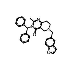 Cc1nc2c(c(=O)n1C(c1ccccc1)c1ccccc1)CN(Cc1ccc3occc3c1)CC2